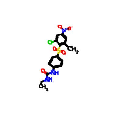 CCNC(=O)Nc1ccc(S(=O)(=O)c2c(C)cc([N+](=O)[O-])cc2Cl)cc1